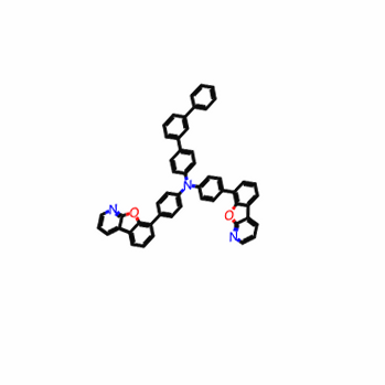 c1ccc(-c2cccc(-c3ccc(N(c4ccc(-c5cccc6c5oc5ncccc56)cc4)c4ccc(-c5cccc6c5oc5ncccc56)cc4)cc3)c2)cc1